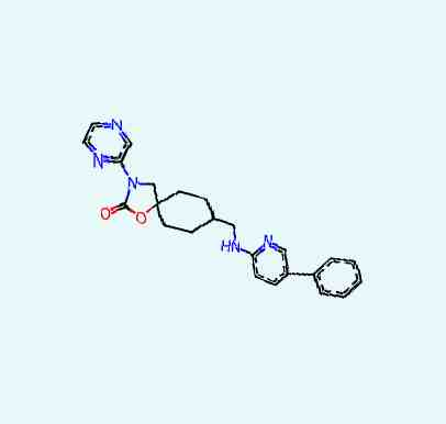 O=C1OC2(CCC(CNc3ccc(-c4ccccc4)cn3)CC2)CN1c1cnccn1